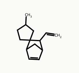 C=CC1C2C=CC(C2)C12CCC(C)C2